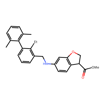 CCc1c(CNc2ccc3c(c2)OCC3C(=O)OC)cccc1-c1c(C)cccc1C